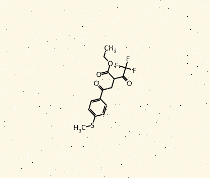 CCOC(=O)C(CC(=O)c1ccc(SC)cc1)C(=O)C(F)(F)F